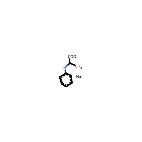 CC(Nc1ccccc1)C(=O)[O-].[Na+]